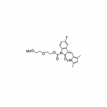 COCCOCCOC(=O)N1C(=O)/C(=C\c2[nH]c(C)cc2C)c2cc(F)ccc21